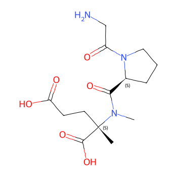 CN(C(=O)[C@@H]1CCCN1C(=O)CN)[C@@](C)(CCC(=O)O)C(=O)O